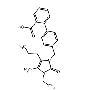 CCCc1c(C)n(CC)c(=O)n1Cc1ccc(-c2ccccc2C(=O)O)cc1